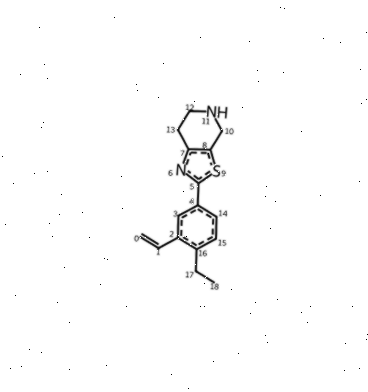 C=Cc1cc(-c2nc3c(s2)CNCC3)ccc1CC